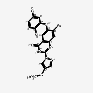 O=C(O)Oc1cnn(-c2nc3cc(F)c(Oc4cc(Cl)ccc4Cl)cc3c(=O)[nH]2)c1